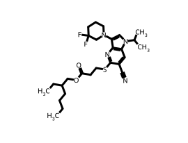 CCCCC(CC)COC(=O)CCSc1nc2c(N3CCCC(F)(F)C3)cn(C(C)C)c2cc1C#N